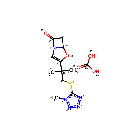 Cn1nnnc1SCC(C)(C)C1=CN2C(=O)CC2O1.O=C(O)O